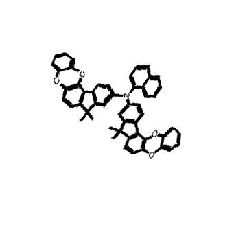 CC1(C)c2cc(N(c3ccc4c(c3)C(C)(C)c3ccc5c(c3-4)Oc3ccccc3O5)c3cccc4ccccc34)ccc2-c2c1ccc1c2Oc2ccccc2O1